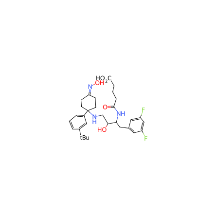 CC(C)(C)c1cccc(C2(NCC(O)C(Cc3cc(F)cc(F)c3)NC(=O)CCCC(=O)O)CCC(=NO)CC2)c1